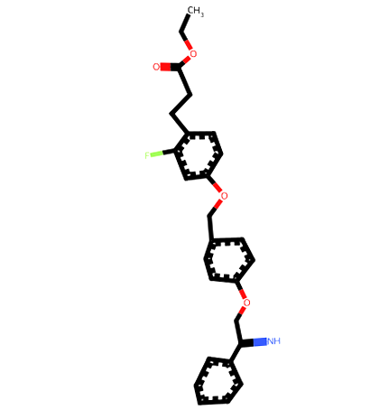 CCOC(=O)CCc1ccc(OCc2ccc(OCC(=N)c3ccccc3)cc2)cc1F